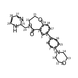 O=C1c2cc(-c3ccc(N4CCOCC4)cc3)ccc2OCCN1CC1N=CC=CN1